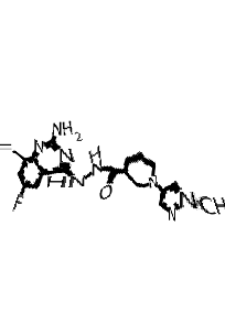 Cn1cc(N2CCCC(C(=O)NNc3nc(N)nc4c(F)cc(F)cc34)C2)cn1